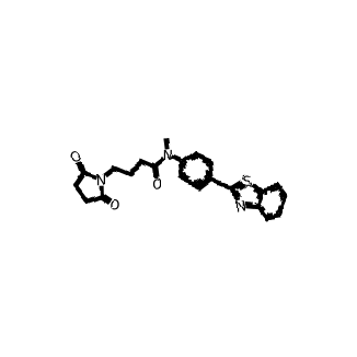 CN(C(=O)CCCN1C(=O)CCC1=O)c1ccc(-c2nc3ccccc3s2)cc1